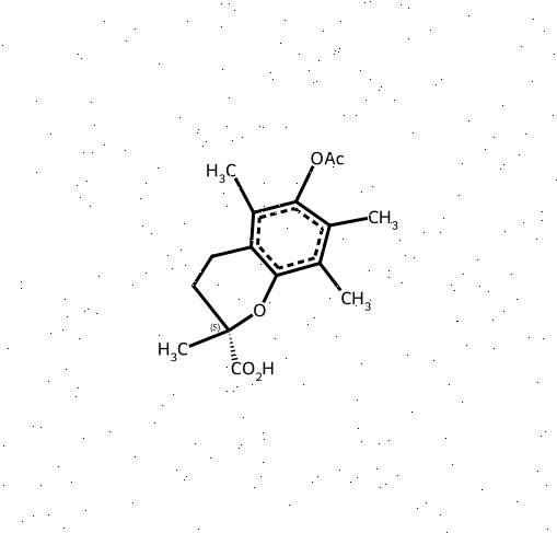 CC(=O)Oc1c(C)c(C)c2c(c1C)CC[C@@](C)(C(=O)O)O2